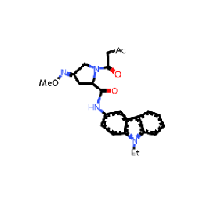 CCn1c2ccccc2c2cc(NC(=O)C3C/C(=N\OC)CN3C(=O)CC(C)=O)ccc21